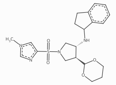 Cn1cnc(S(=O)(=O)N2C[C@H](NC3CCc4ccccc43)[C@@H](C3OCCCO3)C2)c1